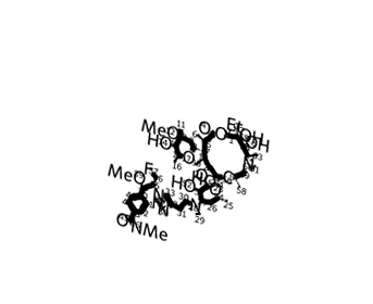 CC[C@H]1OC(=O)[C@H](C)[C@@H](C2C[C@@](C)(OC)[C@@H](O)[C@H](C)O2)[C@H](C)[C@@H](O[C@@H]2O[C@H](C)C[C@H](N(C)CCc3cn([C@H](CF)[C@H](OC)c4ccc(C(=O)NC)cc4)nn3)[C@H]2O)[C@](C)(O)C[C@@H](C)CN(C)[C@H](C)[C@@H](O)[C@]1(C)O